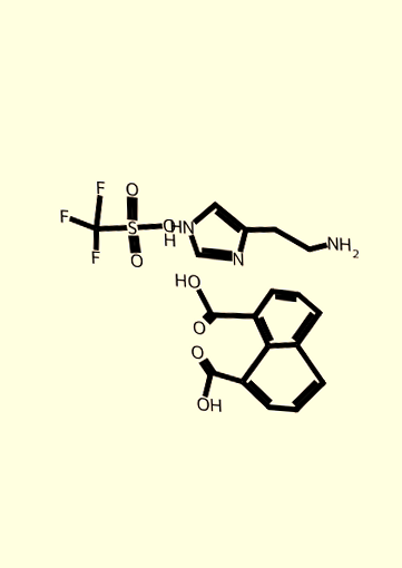 NCCc1c[nH]cn1.O=C(O)c1cccc2cccc(C(=O)O)c12.O=S(=O)(O)C(F)(F)F